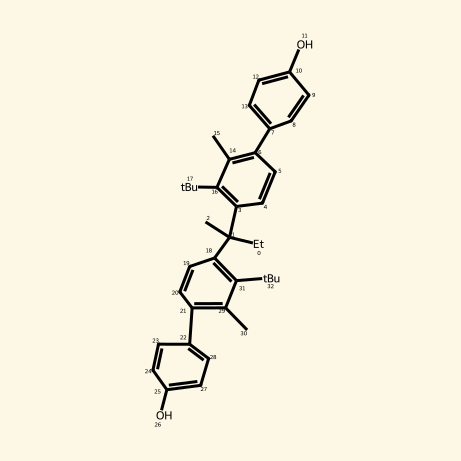 CCC(C)(c1ccc(-c2ccc(O)cc2)c(C)c1C(C)(C)C)c1ccc(-c2ccc(O)cc2)c(C)c1C(C)(C)C